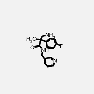 CC(CN)(C(=O)NCc1cccnc1)c1ccc(F)cc1